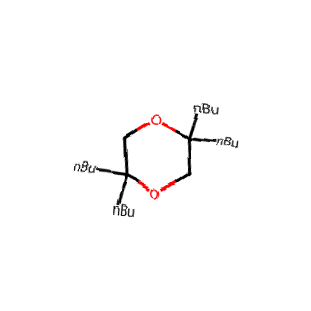 CCCCC1(CCCC)COC(CCCC)(CCCC)CO1